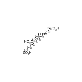 O=C(O)CCCCC(=O)O.O=C(O)CCCCCCCCCCCCCCCCCC(=O)O